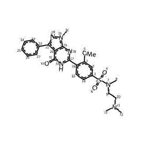 COc1cc(S(=O)(=O)N(C)CCN(C)C)ccc1-c1nc2c(c(-c3ccccc3)nn2C)c(=O)[nH]1